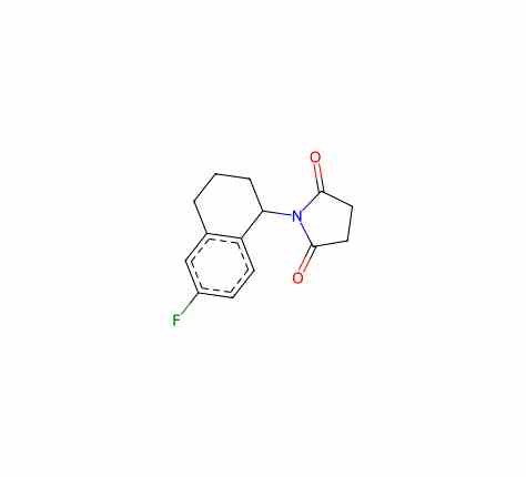 O=C1CCC(=O)N1C1CCCc2cc(F)ccc21